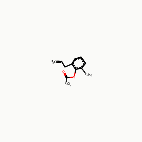 C=CCc1cccc(OC)c1OC(=O)C(Cl)(Cl)Cl